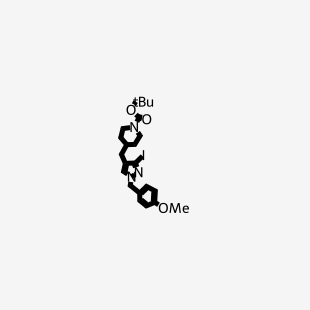 COc1ccc(Cn2cc(CC3CCN(C(=O)OC(C)(C)C)CC3)c(I)n2)cc1